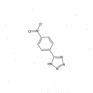 O=[N+]([O-])c1ccc(-c2nnn[nH]2)cc1